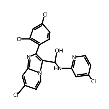 OC(Nc1cc(Cl)ccn1)c1c(-c2ccc(Cl)cc2Cl)nc2cc(Cl)ccn12